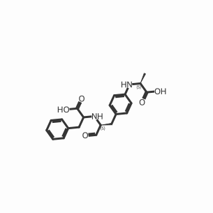 C[C@H](Nc1ccc(C[C@@H](C=O)NC(Cc2ccccc2)C(=O)O)cc1)C(=O)O